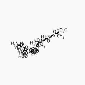 C/C(=C/C(=O)O)C(=O)SCCNC(=O)CCNC(=O)[C@H](O)C(C)(C)COP(=O)(O)OP(=O)(O)OC[C@H]1O[C@@H](n2cnc3c(N)ncnc32)[C@H](O)[C@@H]1OP(=O)(O)O